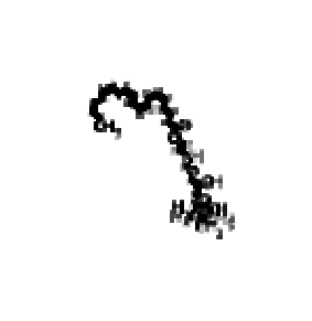 CC/C=C\C/C=C\C/C=C\C/C=C\C/C=C\CCCC(=O)OCCNCOCC(O)CO[Si](C)(C)C(C)(C)C